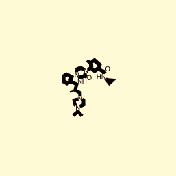 Cc1ccc(C(=O)NC2CC2)cc1-n1ccnc(N[C@@H](c2ccccc2)[C@H](C)CN2CCN(C(C)C)CC2)c1=O